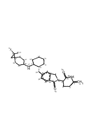 C=C1CCC(N2Cc3cc(C[C@H]4CCCC[C@@H]4NC4CCC5(CC4)CC5(F)F)ccc3C2=O)C(=O)N1